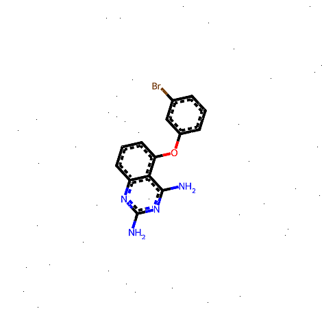 Nc1nc(N)c2c(Oc3cccc(Br)c3)cccc2n1